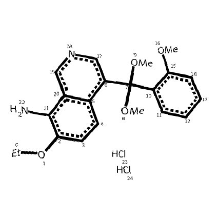 CCOc1ccc2c(C(OC)(OC)c3ccccc3OC)cncc2c1N.Cl.Cl